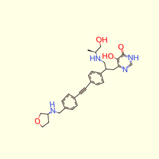 C[C@@H](CO)NCC(Cc1nc[nH]c(=O)c1O)c1ccc(C#Cc2ccc(CN[C@H]3CCOC3)cc2)cc1